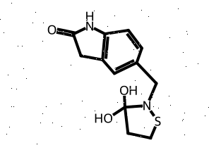 O=C1Cc2cc(CN3SCCC3(O)O)ccc2N1